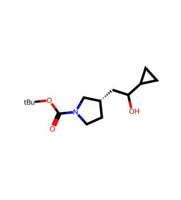 CC(C)(C)OC(=O)N1CC[C@@H](CC(O)C2CC2)C1